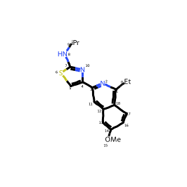 CCc1nc(-c2csc(NC(C)C)n2)cc2cc(OC)ccc12